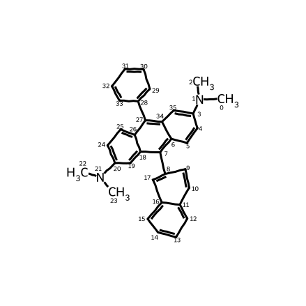 CN(C)c1ccc2c(-c3ccc4ccccc4c3)c3cc(N(C)C)ccc3c(-c3ccccc3)c2c1